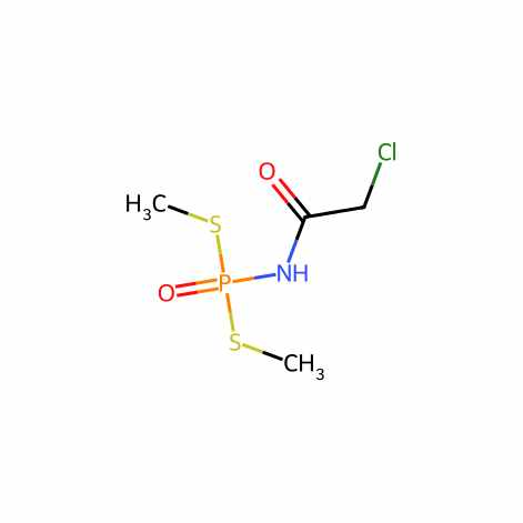 CSP(=O)(NC(=O)CCl)SC